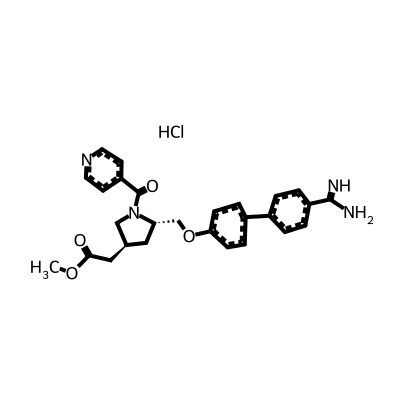 COC(=O)C[C@@H]1C[C@@H](COc2ccc(-c3ccc(C(=N)N)cc3)cc2)N(C(=O)c2ccncc2)C1.Cl